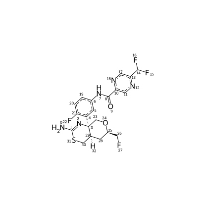 NC1=N[C@@]2(c3cc(NC(=O)c4cnc(C(F)F)cn4)ccc3F)CO[C@@H](CF)C[C@H]2CS1